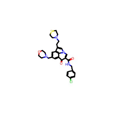 O=C(NCc1ccc(Cl)cc1)c1cn2cc(CCN3CCSCC3)c3cc(CN4CCOCC4)cc(c1=O)c32